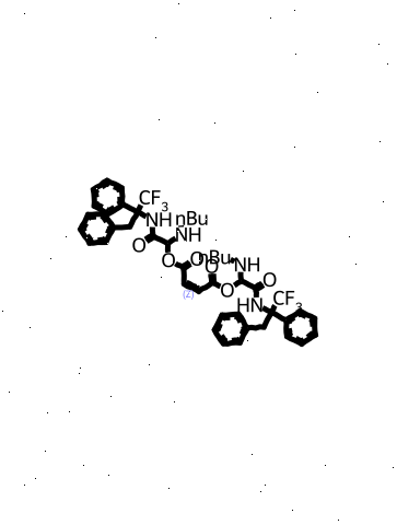 CCCCNC(OC(=O)/C=C\C(=O)OC(NCCCC)C(=O)NC(Cc1ccccc1)(c1ccccc1)C(F)(F)F)C(=O)NC(Cc1ccccc1)(c1ccccc1)C(F)(F)F